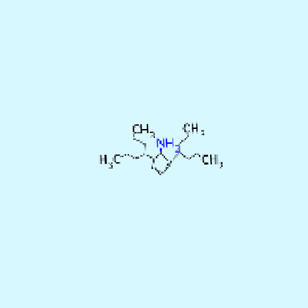 CCCC(CCC)C1=CC=CC(C(CCC)CCC)C1N